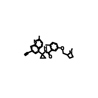 C#Cc1cc(C2(NC(=O)c3cc(OCC4CCN4C)ccc3C)CC2)c2ccc(C)nc2c1